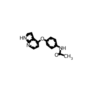 CC(=O)Nc1ccc(Oc2ccnc3[nH]ccc23)cc1